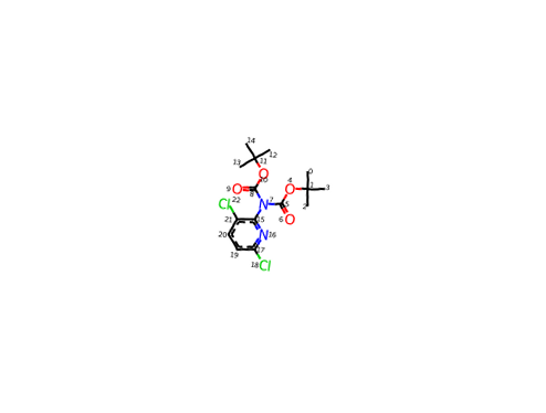 CC(C)(C)OC(=O)N(C(=O)OC(C)(C)C)c1nc(Cl)ccc1Cl